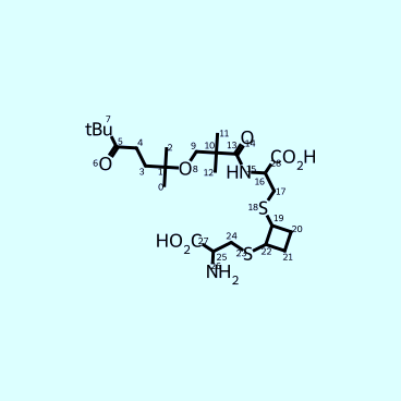 CC(C)(CCC(=O)C(C)(C)C)OCC(C)(C)C(=O)NC(CSC1CCC1SCC(N)C(=O)O)C(=O)O